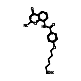 CCCCCCCCCCCCCCCOc1ccc(C(=O)Nc2cccc3c(=O)cc(C#N)oc23)cc1